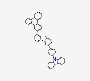 c1cc(-c2ccc3c4ccccc4c4ccccc4c3c2)c2c(c1)-c1cc(-c3ccc(-n4c5ccccc5c5ccccc54)cc3)ccc1C2